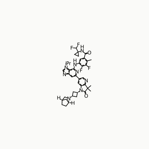 Cc1c(C(=O)NC2(C(F)F)CC2)cc(Nc2nc(-c3cnc4c(c3)N([C@H]3C[C@@H](N5C[C@H]6CC[C@@H]5C6)C3)C(=O)C4(C)C)cc3ncn(C(C)C)c23)c(F)c1F